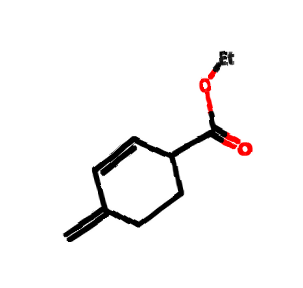 C=C1C=CC(C(=O)OCC)CC1